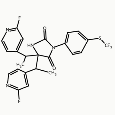 CC(c1ccnc(F)c1)C1(C(C)c2ccnc(F)c2)NC(=O)N(c2ccc(SC(F)(F)F)cc2)C1=O